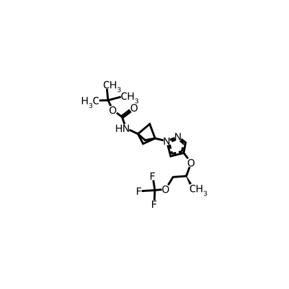 C[C@@H](COC(F)(F)F)Oc1cnn(C23CC(NC(=O)OC(C)(C)C)(C2)C3)c1